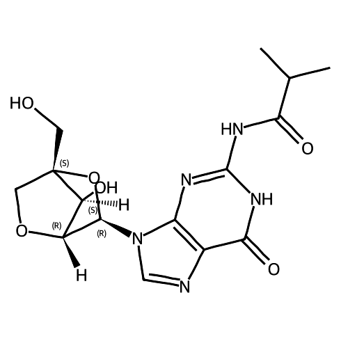 CC(C)C(=O)Nc1nc2c(ncn2[C@@H]2O[C@@]3(CO)CO[C@@H]2[C@@H]3O)c(=O)[nH]1